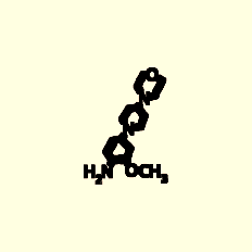 COC1=C(N)C=CC(N2CCC(N3CCOCC3)CC2)C1